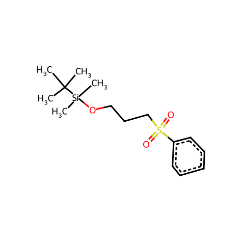 CC(C)(C)[Si](C)(C)OCCCS(=O)(=O)c1ccccc1